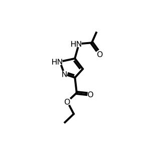 CCOC(=O)c1cc(NC(C)=O)[nH]n1